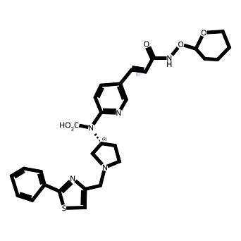 O=C(/C=C/c1ccc(N(C(=O)O)[C@@H]2CCN(Cc3csc(-c4ccccc4)n3)C2)nc1)NOC1CCCCO1